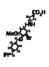 COc1cc(CNC2CC(C(=O)O)C2)cc(Br)c1OCc1ccc(CC(C)C)cc1